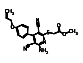 C=CCOc1ccc(-c2c(C#N)c(N)nc(SCC(=O)OC)c2C#N)cc1